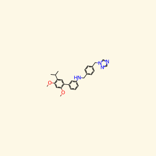 COc1cc(OC)c(C(C)C)cc1-c1cccc(NCc2ccc(Cn3cncn3)cc2)c1